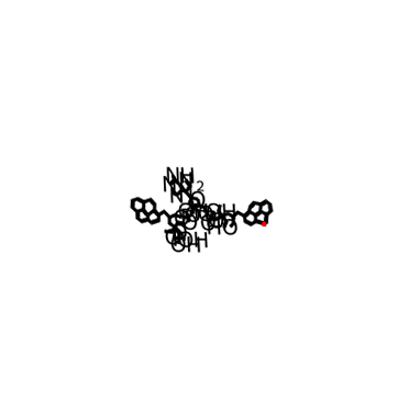 CCC(CC)(CC(COP(=O)(O)OC1CC(N2C=NC3C(N)=NC=NC32)OC1COP(=O)(O)OC(CC)(CC)CC(CO)Cc1ccc2ccc3cccc4ccc1c2c34)Cc1ccc2ccc3cccc4ccc1c2c34)OP(=O)(O)O